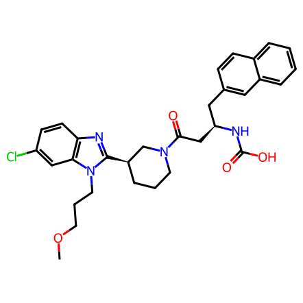 COCCCn1c([C@@H]2CCCN(C(=O)C[C@@H](Cc3ccc4ccccc4c3)NC(=O)O)C2)nc2ccc(Cl)cc21